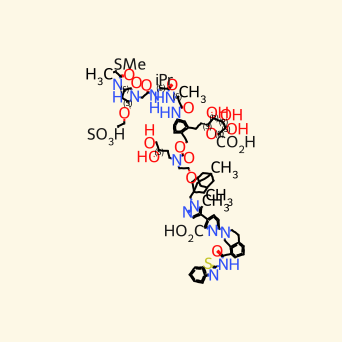 CSC(C)C(=O)N[C@H]1C[C@@H](COCCS(=O)(=O)O)N(CC(=O)N[C@H](C(=O)N[C@@H](C)C(=O)Nc2ccc(COC(=O)N(CCOC34CC5(C)CC(C)(CC(Cn6ncc(-c7ccc(N8CCc9cccc(C(=O)Nc%10nc%11ccccc%11s%10)c9C8)nc7C(=O)O)c6C)(C5)C3)C4)CC[C@H](O)CO)c(CC[C@@H]3O[C@H](C(=O)O)[C@@H](O)[C@H](O)[C@H]3O)c2)C(C)C)C1=O